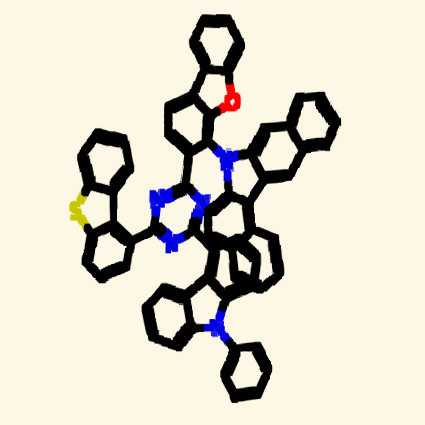 c1ccc(-n2c3ccccc3c3c(-c4nc(-c5ccc6c(oc7ccccc76)c5-n5c6cc7ccccc7cc6c6c7ccccc7ccc65)nc(-c5cccc6sc7ccccc7c56)n4)cccc32)cc1